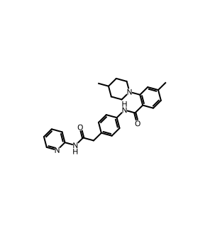 Cc1ccc(C(=O)Nc2ccc(CC(=O)Nc3ccccn3)cc2)c(N2CCC(C)CC2)c1